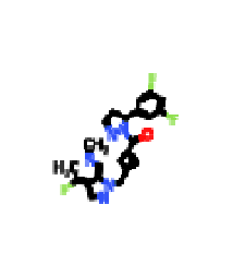 C=N/C=c1\c(=C(/C)F)cnn1CC12CC(C(=O)N3N=CCC3c3cc(F)cc(F)c3)(C1)C2